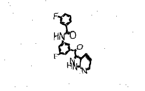 O=C(Nc1cc(F)cc(C(=O)C2=NNC3N=CC=CC23)c1)c1cccc(F)c1